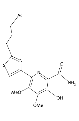 COc1c(-c2csc(CCCC(C)=O)n2)nc(C(N)=O)c(O)c1OC